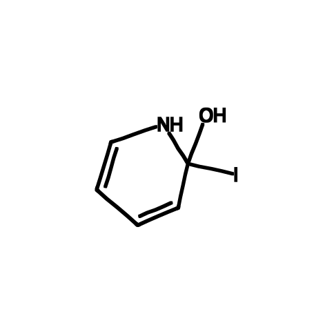 OC1(I)C=CC=CN1